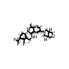 Cc1nnc(N[C@H](C)c2cccc(C(F)F)c2F)c2cc(N3C[C@H]4COC[C@H]4C3)cnc12